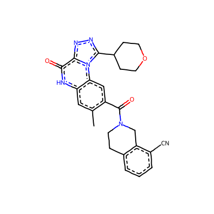 Cc1cc2[nH]c(=O)c3nnc(C4CCOCC4)n3c2cc1C(=O)N1CCc2cccc(C#N)c2C1